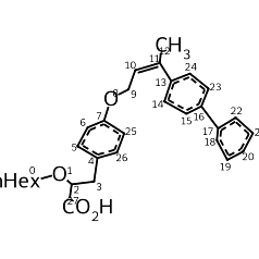 CCCCCCOC(Cc1ccc(OCC=C(C)c2ccc(-c3ccccc3)cc2)cc1)C(=O)O